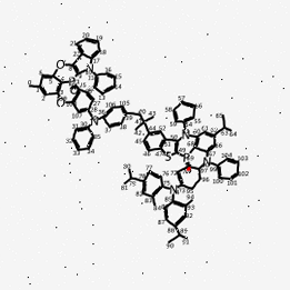 Cc1cc2c3c(c1)Oc1c(n(-c4ccccc4)c4ccccc14)P3(=O)c1ccc(N(c3ccccc3)c3ccc(CC(C)(C)c4ccc5sc6c(c5c4)N(c4ccccc4)c4cc(C(C)C)cc5c4P6(=S)C4C=C(N(c6ccc(C(C)C)cc6C)c6ccc(C(C)C)cc6C)CCC4N5c4ccccc4)cc3)cc1O2